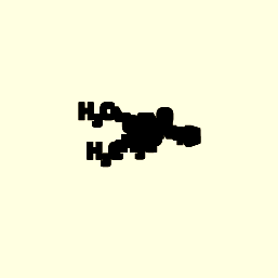 CCCCOc1ccc(C(=O)NCCN2CCCC2)c(OC)c1OCCCC